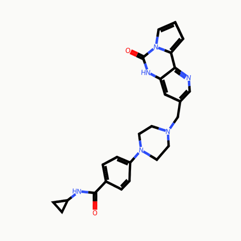 O=C(NC1CC1)c1ccc(N2CCN(Cc3cnc4c(c3)[nH]c(=O)n3cccc43)CC2)cc1